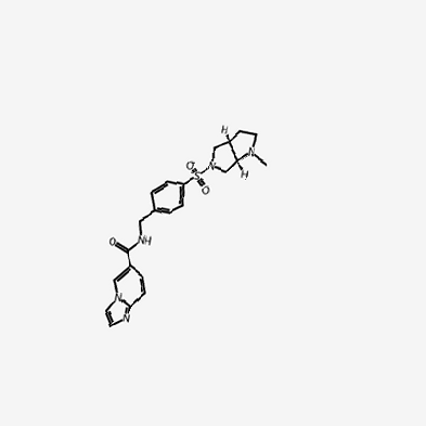 CN1CC[C@H]2CN(S(=O)(=O)c3ccc(CNC(=O)c4ccc5nccn5c4)cc3)C[C@H]21